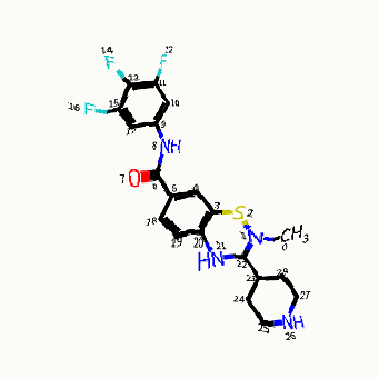 CN1Sc2cc(C(=O)Nc3cc(F)c(F)c(F)c3)ccc2NC1C1CCNCC1